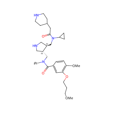 COCCCOc1cc(C(=O)N(C[C@@H]2CNC[C@H]2CN(C(=O)CC2CCNCC2)C2CC2)C(C)C)ccc1OC